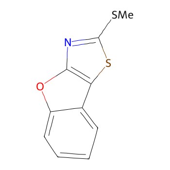 CSc1nc2oc3ccccc3c2s1